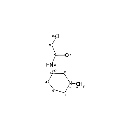 CN1CCC[C@H](NC(=O)CCl)C1